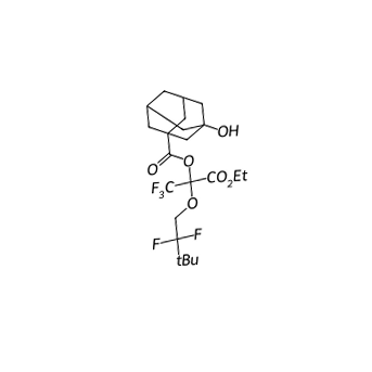 CCOC(=O)C(OCC(F)(F)C(C)(C)C)(OC(=O)C12CC3CC(CC(O)(C3)C1)C2)C(F)(F)F